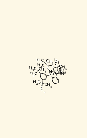 CNC(C)c1ccccc1P(c1cc(C(C)(C)C)cc(C(C)(C)C)c1)c1cc(C(C)(C)C)cc(C(C)(C)C)c1